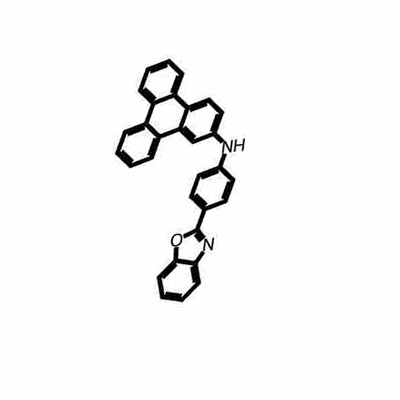 c1ccc2oc(-c3ccc(Nc4ccc5c6ccccc6c6ccccc6c5c4)cc3)nc2c1